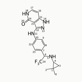 CC1(C)CC1NC(c1ccc(Nc2n[nH]c3cc[nH]c(=O)c23)cc1)C(F)(F)F